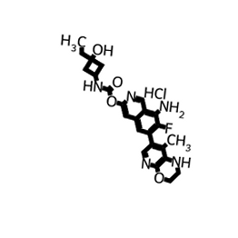 CCC1(O)CC(NC(=O)Oc2cc3cc(-c4cnc5c(c4C)NCCO5)c(F)c(N)c3cn2)C1.Cl